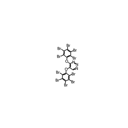 Brc1c(Br)c(Br)c(Oc2cnnnc2Oc2c(Br)c(Br)c(Br)c(Br)c2Br)c(Br)c1Br